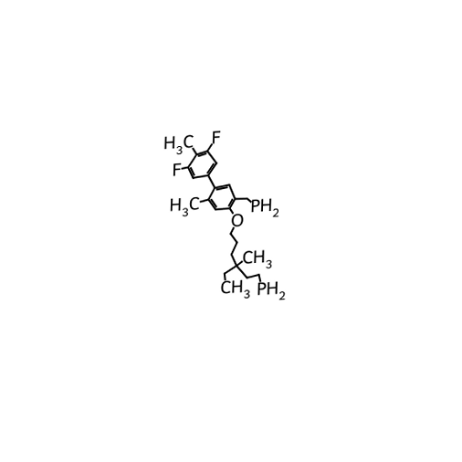 CCC(C)(CCP)CCCOc1cc(C)c(-c2cc(F)c(C)c(F)c2)cc1CP